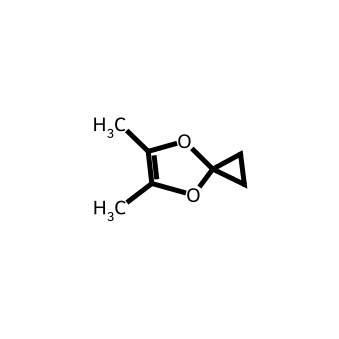 CC1=C(C)OC2(CC2)O1